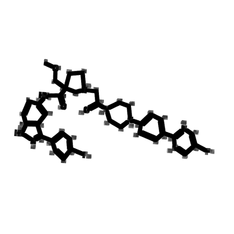 COCC1(C(=O)Nc2ccc3[nH]nc(-c4ccc(F)cc4)c3c2)CCN(CC(=O)N2CCN(c3ccc(-c4ncc(F)cn4)cc3)CC2)C1